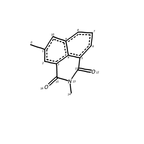 Cc1cc2c3c(cccc3c1)C(=O)N(C)C2=O